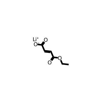 CCOC(=O)C=CC(=O)[O-].[Li+]